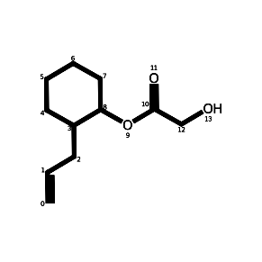 C=CCC1CCCCC1OC(=O)CO